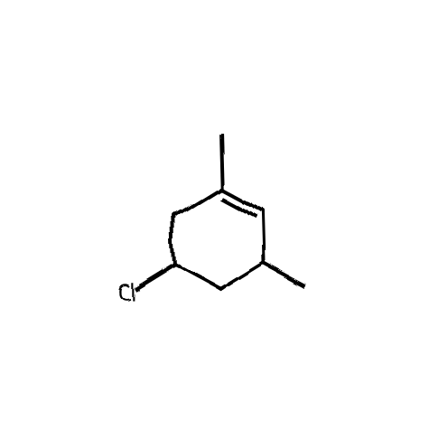 CC1=CC(C)CC(Cl)C1